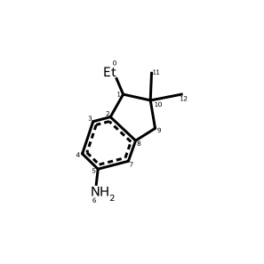 CCC1c2ccc(N)cc2CC1(C)C